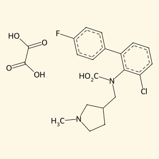 CN1CCC(CN(C(=O)O)c2c(Cl)cccc2-c2ccc(F)cc2)C1.O=C(O)C(=O)O